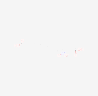 O=C(O)CCCCCCCCCCCCC(CCCC(=O)O)[N+](=O)[O-]